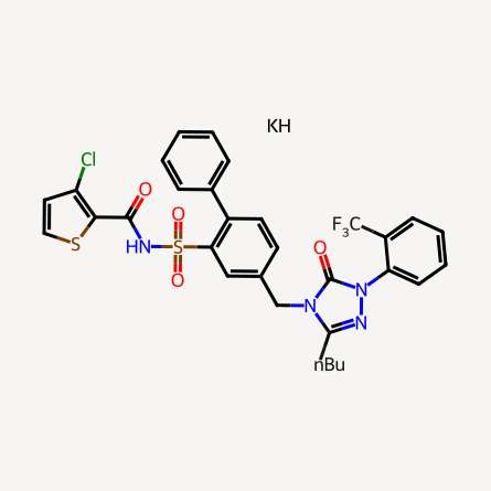 CCCCc1nn(-c2ccccc2C(F)(F)F)c(=O)n1Cc1ccc(-c2ccccc2)c(S(=O)(=O)NC(=O)c2sccc2Cl)c1.[KH]